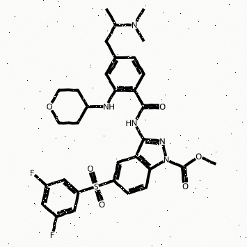 COC(=O)n1nc(NC(=O)c2ccc(CC(C)N(C)C)cc2NC2CCOCC2)c2cc(S(=O)(=O)c3cc(F)cc(F)c3)ccc21